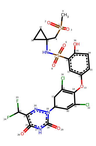 CS(=O)(=O)CC1(NS(=O)(=O)c2cc(OC3=C(Cl)CC(n4nc(C(F)F)c(=O)[nH]c4=O)C=C3Cl)ccc2O)CC1